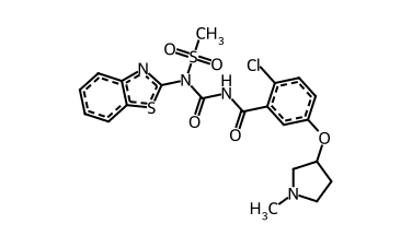 CN1CCC(Oc2ccc(Cl)c(C(=O)NC(=O)N(c3nc4ccccc4s3)S(C)(=O)=O)c2)C1